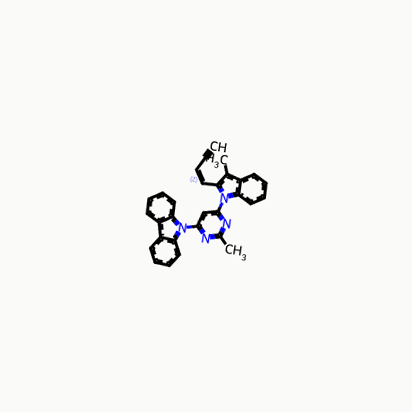 C#C/C=C\c1c(C)c2ccccc2n1-c1cc(-n2c3ccccc3c3ccccc32)nc(C)n1